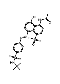 CC(=O)Nc1ccc(S(=O)(=O)Cl)c2c(N=Nc3ccc(S(=O)(=O)NC(C)(C)C)cc3)ccc(O)c12